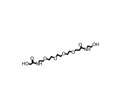 O=C(CO)NCCOCCOCCOCCOCCC(=O)NCCO